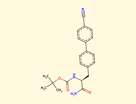 CC(C)(C)OC(=O)N[C@@H](Cc1ccc(-c2ccc(C#N)cc2)cc1)C(N)=O